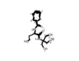 O=C(NC(CCS)C(=O)NC(CO)(CO)CO)c1ccccc1